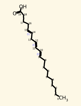 CCCCCCCCC/C=C/C=C/C/C=C/CCCC(=O)O